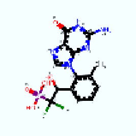 Cc1cccc(C(O)C(F)(F)P(=O)(O)O)c1-n1cnc2c(=O)[nH]c(N)nc21